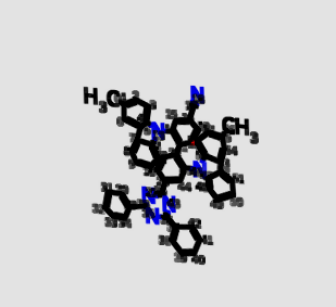 Cc1ccc2c(c1)c1ccccc1n2-c1cc(C#N)ccc1-c1ccc(-c2nc(-c3ccccc3)nc(-c3ccccc3)n2)cc1-n1c2ccccc2c2cc(C)ccc21